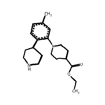 CCOC(=O)C1CCN(c2cc(C)ccc2C2CCNCC2)CC1